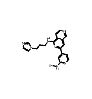 CC(C)Nc1cc(-c2cc3cnccc3c(NCCCn3ccnc3)n2)ccn1